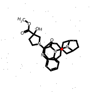 COC(=O)C1(O)CCN(c2nc3ccccc3n(C3CC4CCC(C3)N4C3CCCCCCC3)c2=O)C1